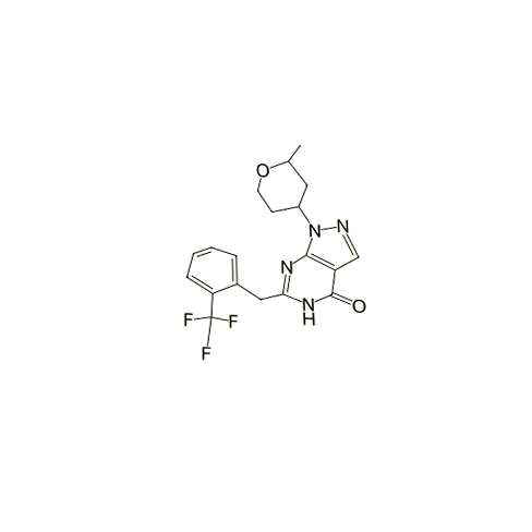 CC1CC(n2ncc3c(=O)[nH]c(Cc4ccccc4C(F)(F)F)nc32)CCO1